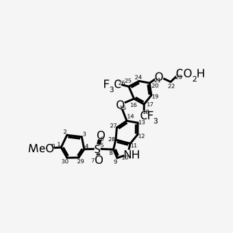 COc1ccc(S(=O)(=O)c2c[nH]c3ccc(Oc4c(C(F)(F)F)cc(OCC(=O)O)cc4C(F)(F)F)cc23)cc1